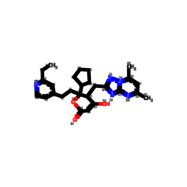 CCc1cc(CCC2(C3CCCC3)OC(=O)C=C(O)C2Cc2nc3nc(C)cc(C)n3n2)ccn1